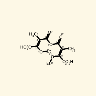 CCOC(C(=O)O)=C(C)C(=O)OC(=O)C(C)=C(OCC)C(=O)O